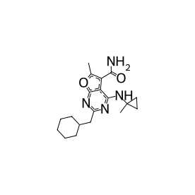 Cc1oc2nc(CC3CCCCC3)nc(NC3(C)CC3)c2c1C(N)=O